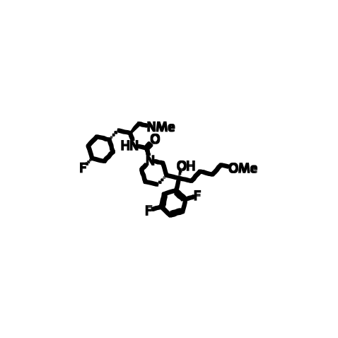 CNC[C@H](C[C@H]1CC[C@@H](F)CC1)NC(=O)N1CCC[C@@H]([C@@](O)(CCCCOC)c2cc(F)ccc2F)C1